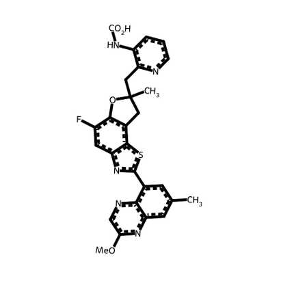 COc1cnc2c(-c3nc4cc(F)c5c(c4s3)CC(C)(Cc3ncccc3NC(=O)O)O5)cc(C)cc2n1